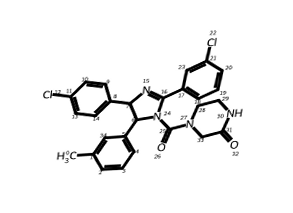 Cc1cccc(C2C(c3ccc(Cl)cc3)N=C(c3cccc(Cl)c3)N2C(=O)N2CCNC(=O)C2)c1